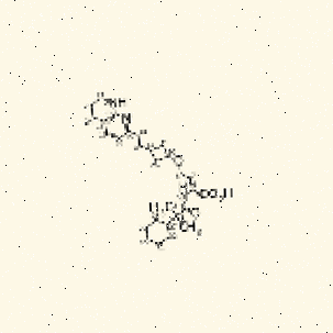 CC(C)(C(=O)N[C@@H](CCOC1CC(CCc2ccc3c(n2)NCCC3)C1)C(=O)O)C1CCCCC1